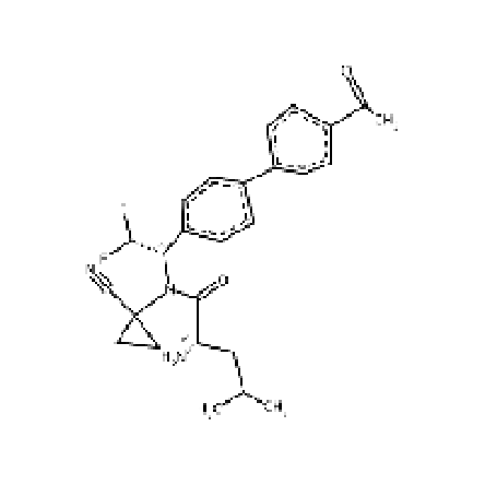 CC(=O)c1ccc(-c2ccc([C@@H](C(F)F)N(C(=O)[C@@H](N)CC(C)C)C3(C#N)CC3)cc2)cc1